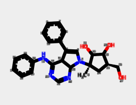 C[C@@]1(N2C=C(c3ccccc3)C3C(Nc4ccccc4)=NC=NC32)C[C@H](CO)C(O)C1O